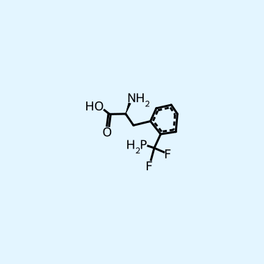 N[C@@H](Cc1ccccc1C(F)(F)P)C(=O)O